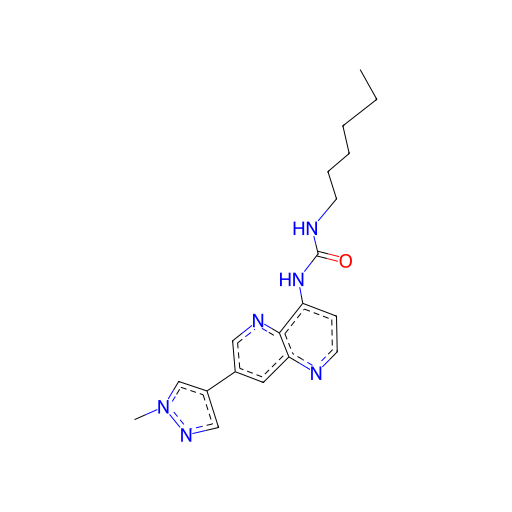 CCCCCCNC(=O)Nc1ccnc2cc(-c3cnn(C)c3)cnc12